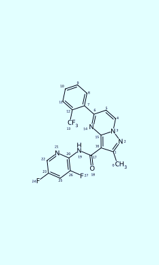 Cc1nn2ccc(-c3ccccc3C(F)(F)F)nc2c1C(=O)Nc1ncc(F)cc1F